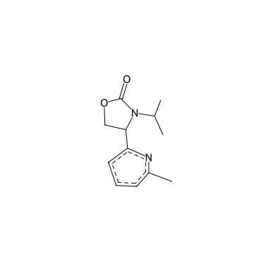 Cc1cccc(C2COC(=O)N2C(C)C)n1